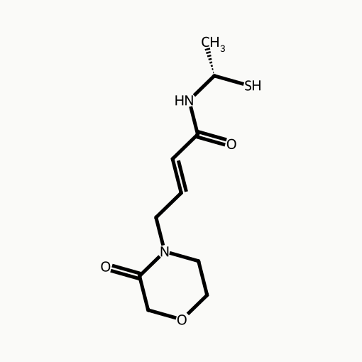 C[C@H](S)NC(=O)/C=C/CN1CCOCC1=O